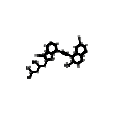 CCN(CC)CC(O)Cn1oc2c(C#Cc3c(N)ncc4ccc(Cl)cc34)cccc2c1=O